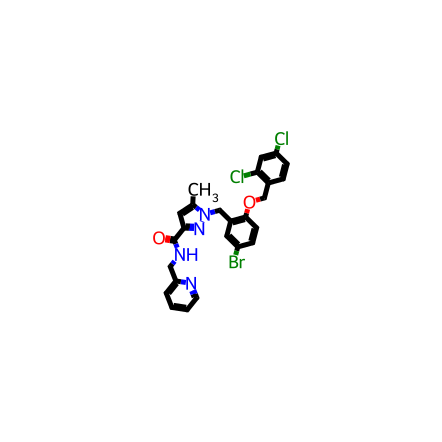 Cc1cc(C(=O)NCc2ccccn2)nn1Cc1cc(Br)ccc1OCc1ccc(Cl)cc1Cl